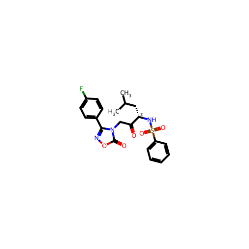 CC(C)C[C@H](NS(=O)(=O)c1ccccc1)C(=O)Cn1c(-c2ccc(F)cc2)noc1=O